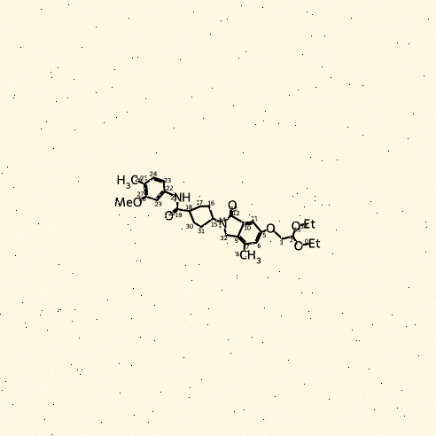 CCOC(COc1cc(C)c2c(c1)C(=O)N(C1CCC(C(=O)Nc3ccc(C)c(OC)c3)CC1)C2)OCC